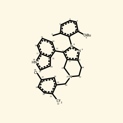 Cc1cccc(OCC(C)C)c1-n1nc2c(c1-c1cccc3[nH]ccc13)CN(Cc1cc(Cl)ccc1C(F)(F)F)CC2